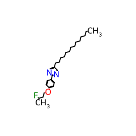 CCCCCCCCCCCCCCc1cnc(-c2ccc(OCCC(C)F)cc2)nc1